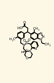 CCn1nnc2c(C)c(C(CC(=O)O)c3ccc(C)c(CN4C[C@H]5COCCN5c5ncccc5S4(=O)=O)c3)ccc21